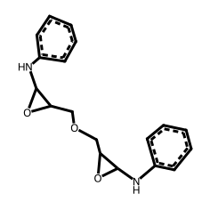 c1ccc(NC2OC2COCC2OC2Nc2ccccc2)cc1